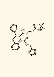 CC(C)(C)NC(=O)OCCC(O)C(NC(=O)OCc1cncs1)C(Cc1ccccc1)c1ccccc1